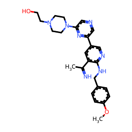 COc1ccc(CNc2ncc(-c3cncc(N4CCN(CCO)CC4)n3)cc2C(C)=N)cc1